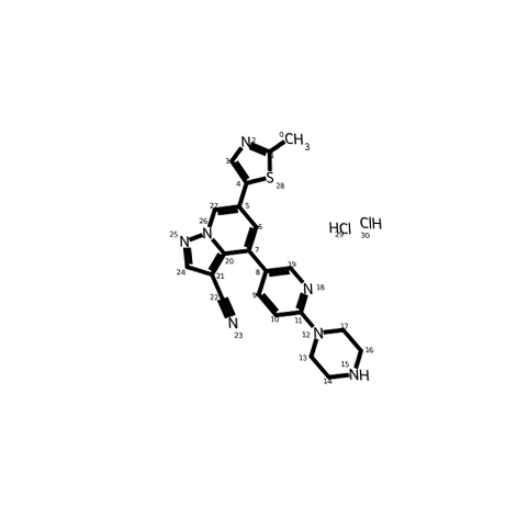 Cc1ncc(-c2cc(-c3ccc(N4CCNCC4)nc3)c3c(C#N)cnn3c2)s1.Cl.Cl